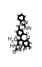 CCCc1nc2ccccc2n1Cc1ccc2c(c1)COc1cc(F)c(F)cc1C2=C(C)c1noc(=O)[nH]1